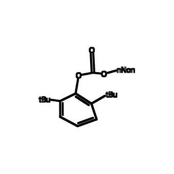 CCCCCCCCCOC(=O)Oc1c(C(C)(C)C)cccc1C(C)(C)C